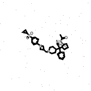 CC(=O)N[C@H]1CCCC1C(C#N)(c1ccccc1)C1CCN(CC2CN(c3ccc(S(=O)(=O)C4CC4)cc3)C2)CC1